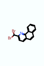 BrC(Br)c1ccc2ccc3ccccc3c2n1